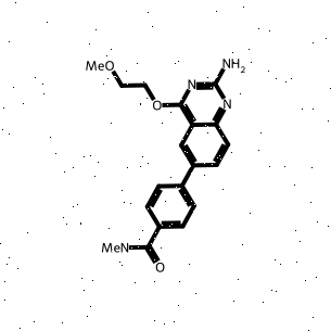 CNC(=O)c1ccc(-c2ccc3nc(N)nc(OCCOC)c3c2)cc1